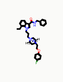 CCc1cccc2c(C(=O)NCc3ccccc3)cn(CCCN3C[C@@H]4CC[C@H]3CN4CCOc3ccc(F)cc3)c12